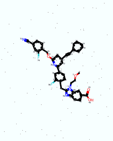 COCCn1c(Cc2ccc(-c3cc(C#Cc4ccccc4)cc(OCc4ccc(C#N)cc4F)n3)cc2F)nc2ccc(C(=O)O)cc21